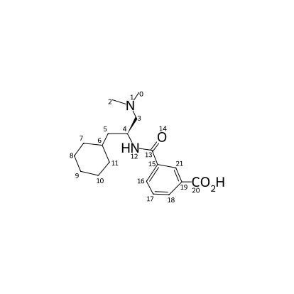 CN(C)C[C@H](CC1CCCCC1)NC(=O)c1cccc(C(=O)O)c1